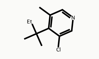 CCC(C)(C)c1c(C)cncc1Cl